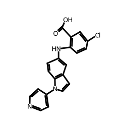 O=C(O)c1cc(Cl)ccc1Nc1ccc2c(ccn2-c2ccncc2)c1